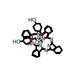 OC1CCC(CO[Si]2(OCC3CCC(O)CC3)N3/C4=N\C5=NC(=N\c6c7ccccc7c(n62)/N=C2\N=C(NC3c3ccccc34)c3ccccc32)/C2=C5C=CCC2)CC1